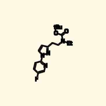 CCN(CCc1ccn(-c2ccc(F)cn2)n1)C(=O)OC(C)(C)C